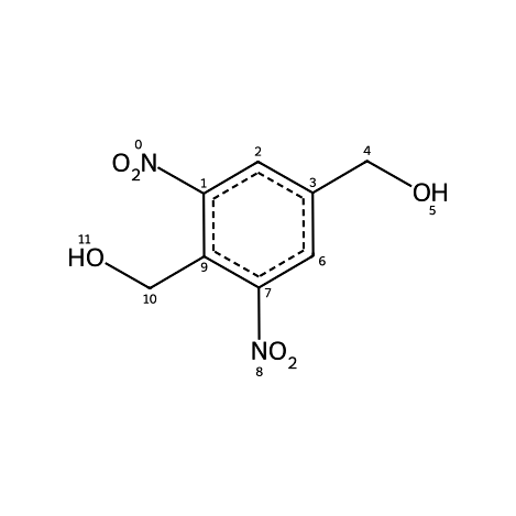 O=[N+]([O-])c1cc(CO)cc([N+](=O)[O-])c1CO